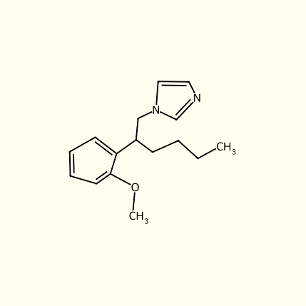 CCCCC(Cn1ccnc1)c1ccccc1OC